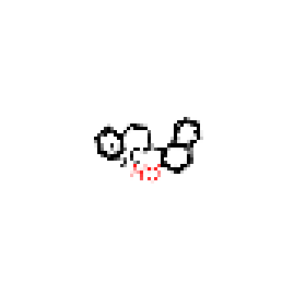 CC(/C=C\c1ccccc1)c1c(O)ccc2ccccc12